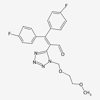 COCCOCn1nnnc1C(C=O)=C(c1ccc(F)cc1)c1ccc(F)cc1